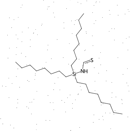 CCCCCCCC[Si](CCCCCCCC)(CCCCCCCC)NC=S